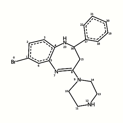 Brc1ccc2c(c1)N=C(N1CCNCC1)CC(c1ccccc1)N2